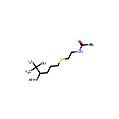 CCCCCCC(CCCSCCNC(=O)C(C)(C)C)C(C)(C)CCC